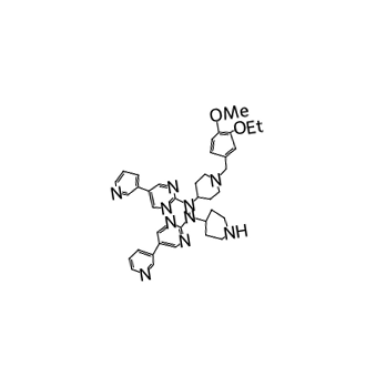 CCOc1cc(CN2CCC(N(c3ncc(-c4cccnc4)cn3)N(c3ncc(-c4cccnc4)cn3)C3CCNCC3)CC2)ccc1OC